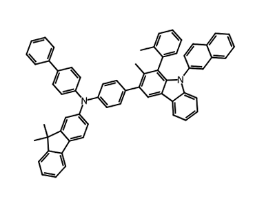 Cc1ccccc1-c1c(C)c(-c2ccc(N(c3ccc(-c4ccccc4)cc3)c3ccc4c(c3)C(C)(C)c3ccccc3-4)cc2)cc2c3ccccc3n(-c3ccc4ccccc4c3)c12